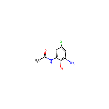 CC(=O)Nc1cc(Cl)cc(N)c1O